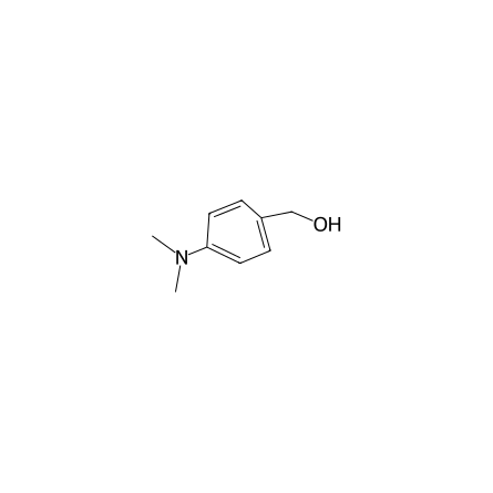 CN(C)c1ccc(CO)cc1